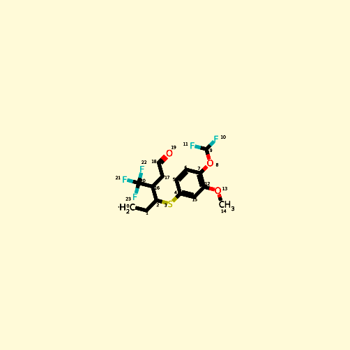 [CH2]CC(Sc1ccc(OC(F)F)c(OC)c1)C(CC=O)C(F)(F)F